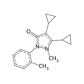 Cc1ccccc1-n1c(=O)c(C2CC2)c(C2CC2)n1C